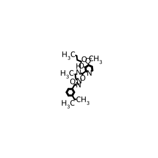 CCCC(=O)Oc1c(OC)ccnc1C(=O)N[C@@H](C)c1nnc(-c2cccc(C(C)C)c2)o1